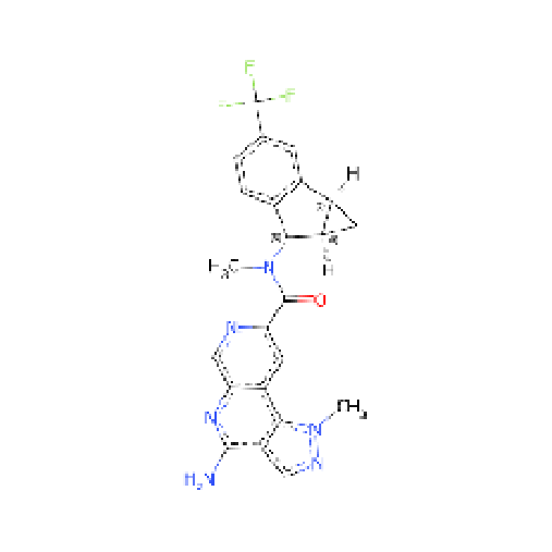 CN(C(=O)c1cc2c(cn1)nc(N)c1cnn(C)c12)[C@@H]1c2ccc(C(F)(F)F)cc2[C@H]2C[C@H]21